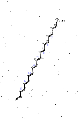 [CH]=C/C=C/C=C/C=C/C=C/C=C/C=C/C=C/C=C/C=C/CCCCCCCCC